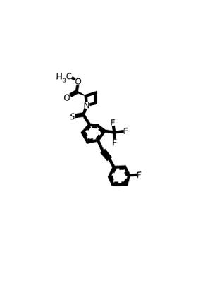 COC(=O)[C@H]1CCN1C(=S)c1ccc(C#Cc2cccc(F)c2)c(C(F)(F)F)c1